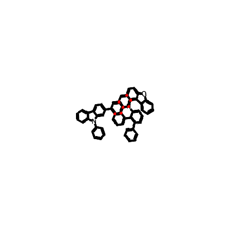 c1ccc(-c2ccccc2-c2c(-c3ccccc3)cccc2N(c2ccc(-c3ccc4c5ccccc5n(-c5ccccc5)c4c3)cc2)c2cccc3oc4ccccc4c23)cc1